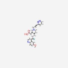 COc1ccc2nccc([C@H](F)CC[C@@H]3CCN(CC#Cc4cccnn4)C[C@@H]3CC(=O)O)c2c1